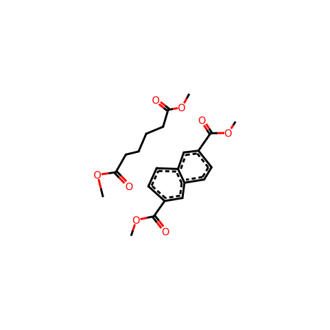 COC(=O)CCCCC(=O)OC.COC(=O)c1ccc2cc(C(=O)OC)ccc2c1